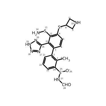 Cc1c(-c2ccc(SC3CNC3)c(SN)c2-c2nn[nH]n2)cccc1[S+]([O-])NC=O